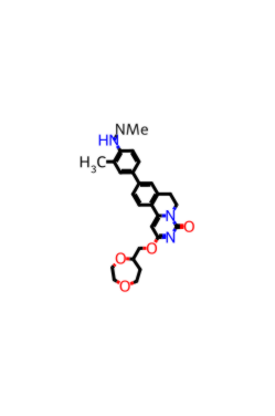 CNNc1ccc(-c2ccc3c(c2)CCn2c-3cc(OCC3CCOCCO3)nc2=O)cc1C